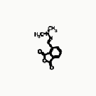 CN(C)/N=C/c1cccc2c1C(=O)OC2=O